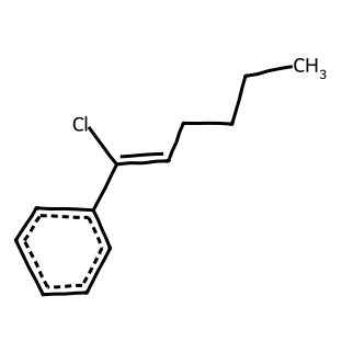 CCCCC=C(Cl)c1ccccc1